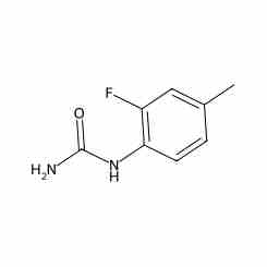 Cc1ccc(NC(N)=O)c(F)c1